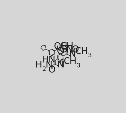 COc1ncc(-c2ccc3c(Nc4cc(C(=O)O)cc(C5CCCC5)c4)c(C(N)=O)cnc3c2C)c(OC)n1